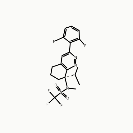 CC(C)[C@]1(N(C)S(=O)(=O)C(F)(F)F)CCCc2cc(-c3c(F)cccc3F)nnc21